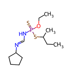 CCOP(=S)(NC=NC1CCCC1)SC(C)CC